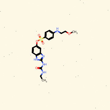 CCNC(=O)Nc1nc2cc(OS(=O)(=O)c3ccc(NCCOC)cc3)ccc2[nH]1